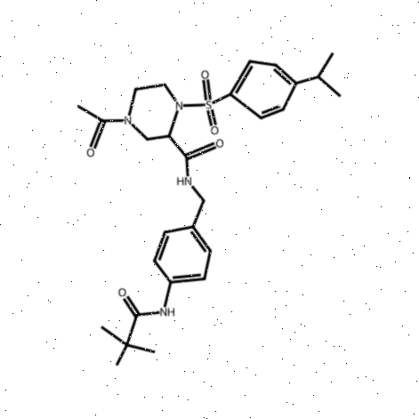 CC(=O)N1CCN(S(=O)(=O)c2ccc(C(C)C)cc2)C(C(=O)NCc2ccc(NC(=O)C(C)(C)C)cc2)C1